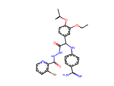 CCOc1cc(C(Nc2ccc(C(=N)N)cc2)C(=O)NNC(=O)c2ncccc2Br)ccc1OC(C)C